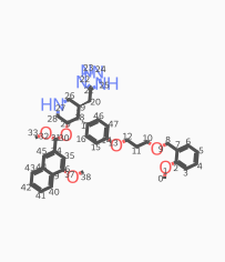 COc1ccccc1COCCCOc1ccc([C@H]2[C@H](Cc3nnn[nH]3)CNC[C@@H]2OC(OC)c2cc(OC)c3ccccc3c2)cc1